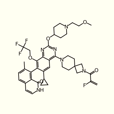 C=C(F)C(=O)N1CC2(CCN(c3nc(OC4CCN(CCOC)CC4)nc4c(OCC(F)(F)F)c(-c5c(C)ccc6cc[nH]c(=O)c56)c(C5CC5)cc34)CC2)C1